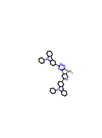 c1ccc(-n2c3ccccc3c3cc(-c4cc5c(cn4)[SiH2]c4nnc(-c6ccc7c(c6)c6ccccc6n7-c6ccccc6)nc4-5)ccc32)cc1